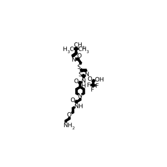 CC(C)(C)c1cnc(CSc2cnc(NC(=O)C3CCN(CC(=O)NCCOCCN)CC3)s2)o1.O=C(O)C(F)(F)F